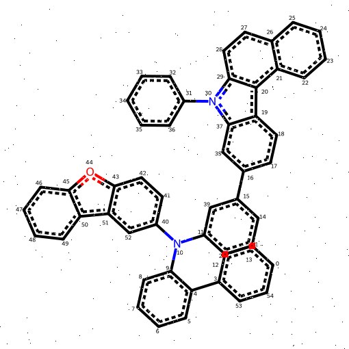 c1ccc(-c2ccccc2N(c2cccc(-c3ccc4c5c6ccccc6ccc5n(-c5ccccc5)c4c3)c2)c2ccc3oc4ccccc4c3c2)cc1